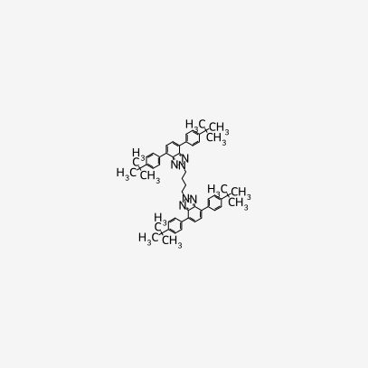 CC(C)(C)c1ccc(-c2ccc(-c3ccc(C(C)(C)C)cc3)c3nn(CCCCn4nc5c(-c6ccc(C(C)(C)C)cc6)ccc(-c6ccc(C(C)(C)C)cc6)c5n4)nc23)cc1